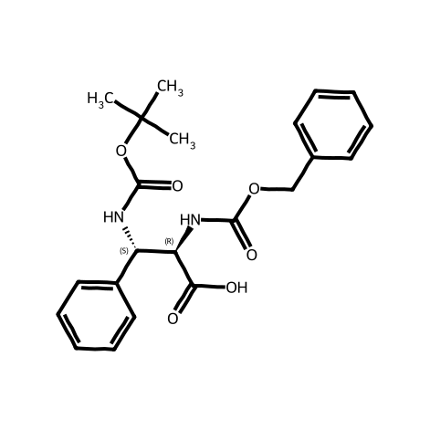 CC(C)(C)OC(=O)N[C@@H](c1ccccc1)[C@@H](NC(=O)OCc1ccccc1)C(=O)O